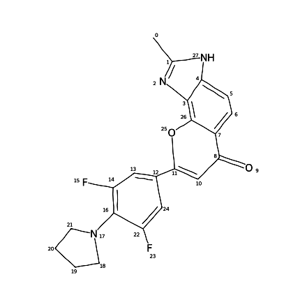 Cc1nc2c(ccc3c(=O)cc(-c4cc(F)c(N5CCCC5)c(F)c4)oc32)[nH]1